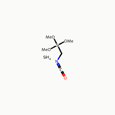 CO[Si](CN=C=O)(OC)OC.[SiH4]